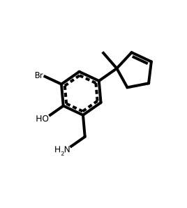 CC1(c2cc(Br)c(O)c(CN)c2)C=CCC1